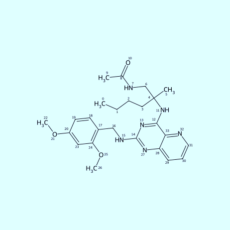 CCCCC(C)(CNC(C)=O)Nc1nc(NCc2ccc(OC)cc2OC)nc2cccnc12